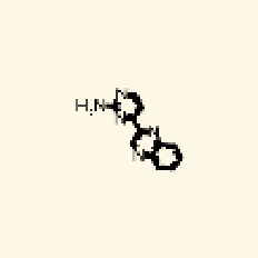 Nc1nccc(-c2cnc3ccccc3n2)n1